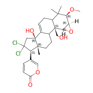 CO[C@H]1[C@H]2O[C@H]2[C@]2(CO)C3CC[C@]4(C)[C@@H](c5ccc(=O)oc5)C(Cl)(Cl)C[C@]4(O)C3=CCC2C1(C)C